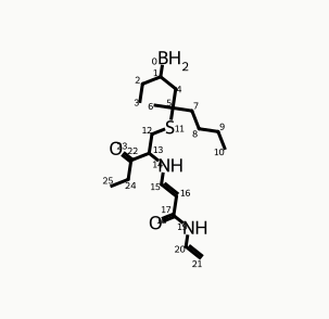 BC(CC)CC(C)(CCCC)SCC(NC=CC(=O)NC=C)C(=O)CC